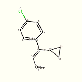 COC=C(c1ccc(Cl)cc1)C1CC1